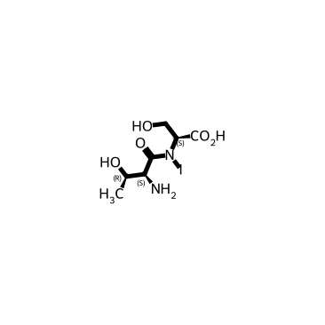 C[C@@H](O)[C@H](N)C(=O)N(I)[C@@H](CO)C(=O)O